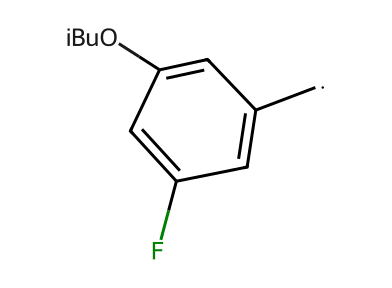 [CH2]c1cc(F)cc(OCC(C)C)c1